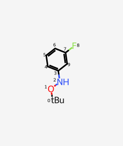 CC(C)(C)ONc1cccc(F)c1